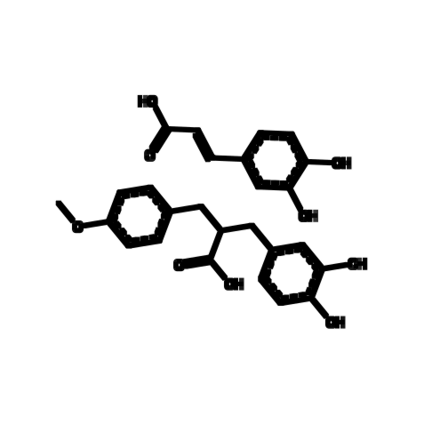 COc1ccc(CC(Cc2ccc(O)c(O)c2)C(=O)O)cc1.O=C(O)C=Cc1ccc(O)c(O)c1